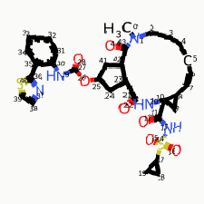 CN1CCCCC=CC2CC2(C(=O)NS(=O)(=O)C2CC2)NC(=O)C2CC(OC(=O)Nc3ccccc3-c3nccs3)CC2C1=O